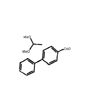 COC(C)OC.O=Cc1ccc(-c2ccccc2)cc1